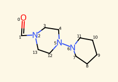 O=CN1CCN(N2CCCCC2)CC1